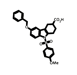 COc1ccc(S(=O)(=O)n2c3c(c4cc(OCc5ccccc5)ccc42)CC(C(=O)O)CC3)cc1